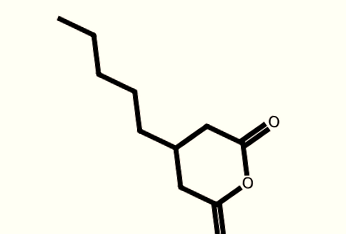 CCCCCC1CC(=O)OC(=O)C1